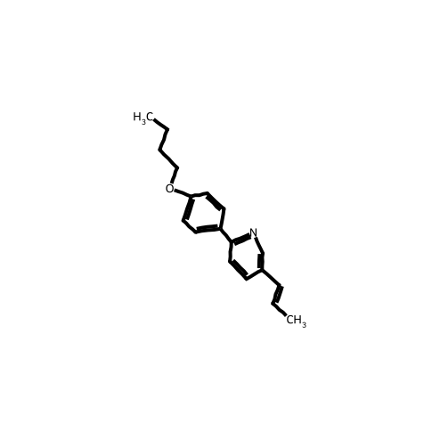 C/C=C/c1ccc(-c2ccc(OCCCC)cc2)nc1